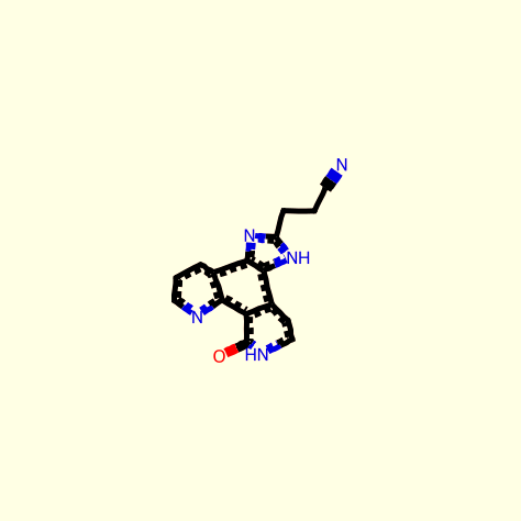 N#CCCc1nc2c3cccnc3c3c(=O)[nH]ccc3c2[nH]1